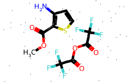 COC(=O)c1sccc1N.O=C(OC(=O)C(F)(F)F)C(F)(F)F